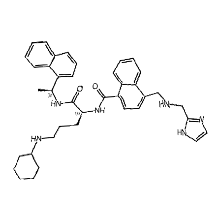 C[C@H](NC(=O)[C@H](CCCNC1CCCCC1)NC(=O)c1ccc(CNCc2ncc[nH]2)c2ccccc12)c1cccc2ccccc12